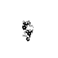 Cn1cnnc1[C@@H](F)C1(c2cccc(N3Cc4c(cc(CN5CCC[C@@H]5CO)cc4C(F)(F)F)C3=O)c2)COC1